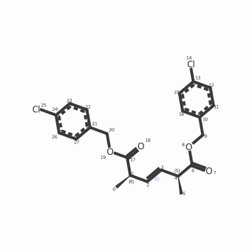 C[C@H](/C=C/[C@H](C)C(=O)OCc1ccc(Cl)cc1)C(=O)OCc1ccc(Cl)cc1